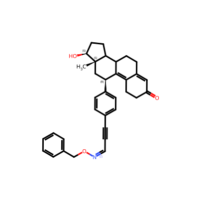 C[C@]12C[C@H](c3ccc(C#C/C=N\OCc4ccccc4)cc3)C3=C4CCC(=O)C=C4CCC3C1CC[C@@H]2O